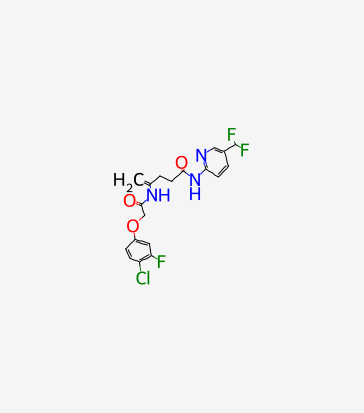 C=C(CCC(=O)Nc1ccc(C(F)F)cn1)NC(=O)COc1ccc(Cl)c(F)c1